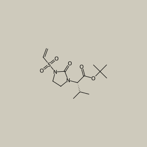 C=CS(=O)(=O)N1CCN([C@H](C(=O)OC(C)(C)C)C(C)C)C1=O